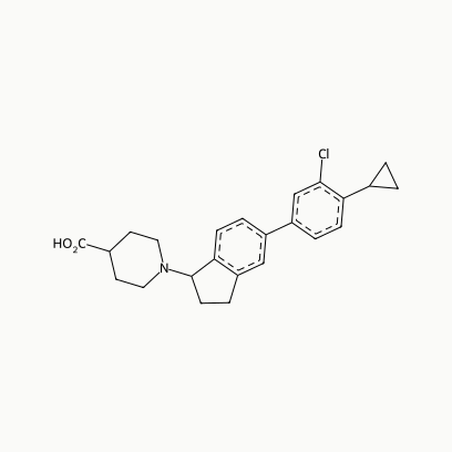 O=C(O)C1CCN(C2CCc3cc(-c4ccc(C5CC5)c(Cl)c4)ccc32)CC1